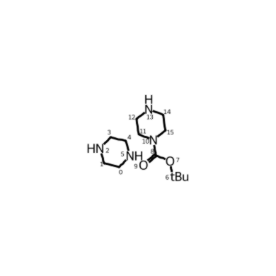 C1CNCCN1.CC(C)(C)OC(=O)N1CCNCC1